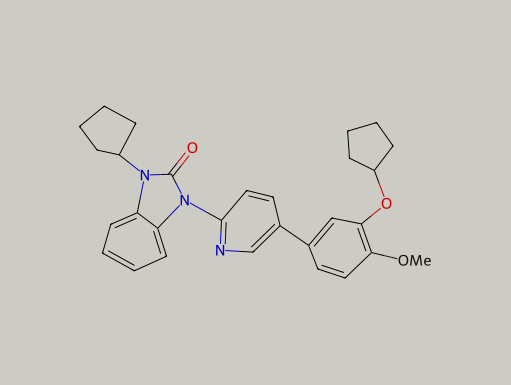 COc1ccc(-c2ccc(-n3c(=O)n(C4CCCC4)c4ccccc43)nc2)cc1OC1CCCC1